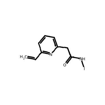 C=Cc1cccc(CC(=O)NI)n1